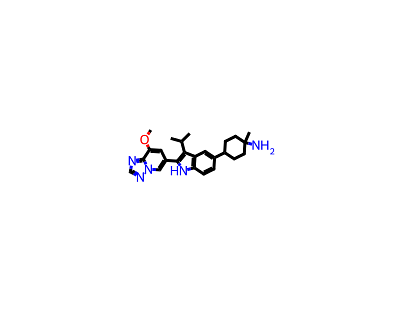 COc1cc(-c2[nH]c3ccc(C4CCC(C)(N)CC4)cc3c2C(C)C)cn2ncnc12